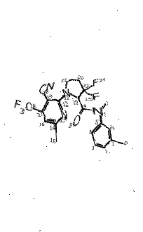 Cc1cccc(N(C)C(=O)C2N(c3nc(C)cc(C(F)(F)F)c3C#N)CCC2(F)F)c1